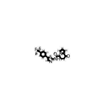 O=C1CCC(C(=O)Nc2ncc(-c3ccc(C(F)(F)F)cc3)s2)n2cccc21